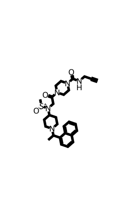 C#CCNC(=O)N1CCN(C(=O)CN(C2CCN(C(C)c3cccc4ccccc34)CC2)[S+](C)[O-])CC1